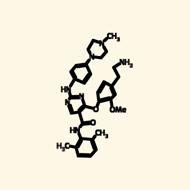 COc1cc(CCN)ccc1Oc1nc(Nc2ccc(N3CCN(C)CC3)cc2)ncc1C(=O)Nc1c(C)cccc1C